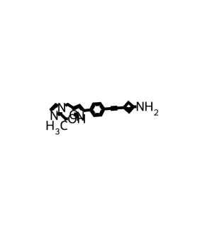 C[C@H](O)c1nccn1Cc1cc(-c2ccc(C#CC34CC(N)(C3)C4)cc2)no1